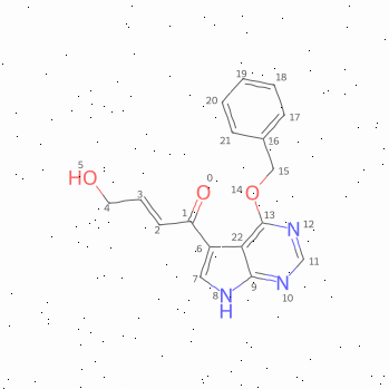 O=C(/C=C/CO)c1c[nH]c2ncnc(OCc3ccccc3)c12